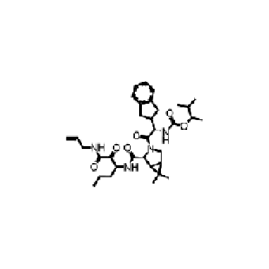 C=CCNC(=O)C(=O)C(CCC)NC(=O)[C@@H]1C2C(CN1C(=O)[C@@H](NC(=O)OC(C)C(C)C)C1Cc3ccccc3C1)C2(C)C